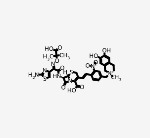 CC(C)(O/N=C(\C(=O)N[C@@H]1C(=O)N2C(C(=O)O)=C(/C=C/c3ccc(C[N+]4(C)CCc5cc(O)c(O)cc5C4)cc3[N+](=O)[O-])CS[C@H]12)c1csc(N)n1)C(=O)O